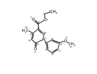 CCOC(=O)c1nn(-c2cccc(OC)c2)c(=O)cc1C